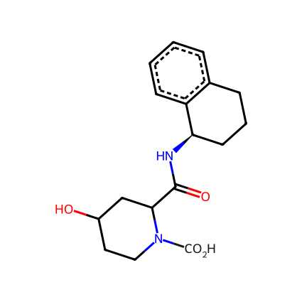 O=C(N[C@@H]1CCCc2ccccc21)C1CC(O)CCN1C(=O)O